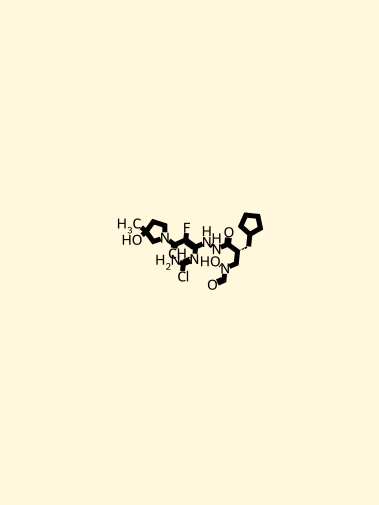 C=C(/C(F)=C(\N=C(/N)Cl)NNC(=O)[C@H](CC1CCCC1)CN(O)C=O)N1CCC(C)(O)C1